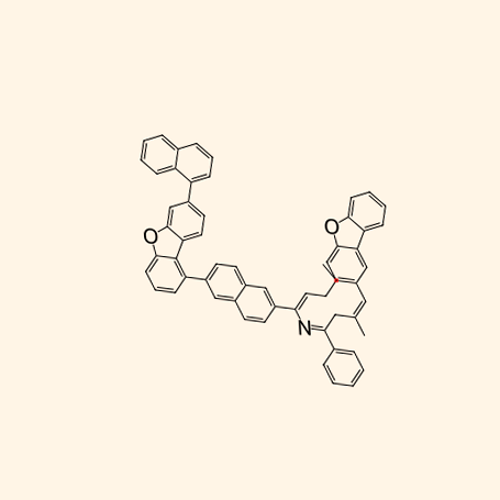 CCC/C=C(\N=C(/C/C(C)=C\c1ccc2oc3ccccc3c2c1)c1ccccc1)c1ccc2cc(-c3cccc4oc5cc(-c6cccc7ccccc67)ccc5c34)ccc2c1